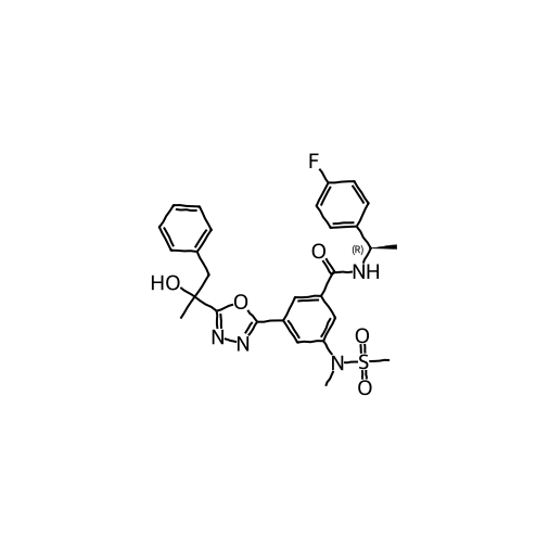 C[C@@H](NC(=O)c1cc(-c2nnc(C(C)(O)Cc3ccccc3)o2)cc(N(C)S(C)(=O)=O)c1)c1ccc(F)cc1